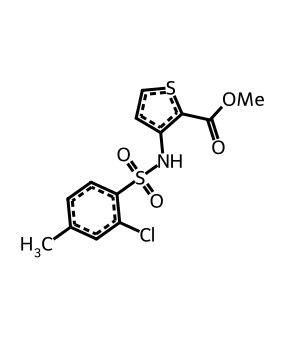 COC(=O)c1sccc1NS(=O)(=O)c1ccc(C)cc1Cl